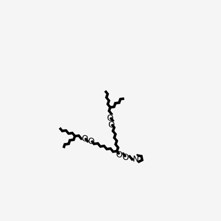 CCCCCC(CCCCC)CCOCOCCCCCCCC(CCCCCCCOCOCCC(CCCCC)CCCCC)OCOCCN1CCCC1